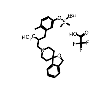 Cc1ccc(O[Si](C)(C)C(C)(C)C)cc1CC(CN1CCC2(CC1)OCc1ccccc12)C(=O)O.O=C(O)C(F)(F)F